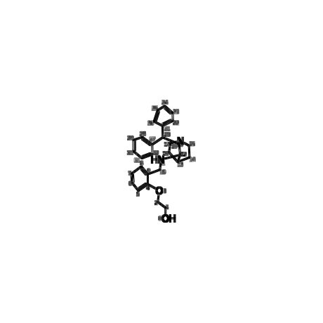 OCCOc1ccccc1CNC1C2CCN(CC2)C1C(c1ccccc1)c1ccccc1